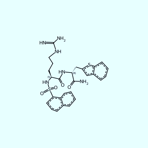 N=C(N)NCCC[C@H](NS(=O)(=O)c1cccc2ccccc12)C(=O)N[C@H](Cc1cc2ccccc2s1)C(N)=O